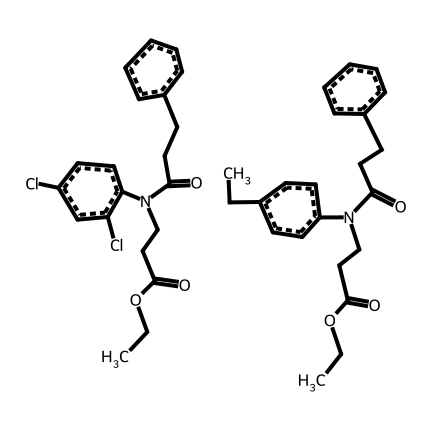 CCOC(=O)CCN(C(=O)CCc1ccccc1)c1ccc(CC)cc1.CCOC(=O)CCN(C(=O)CCc1ccccc1)c1ccc(Cl)cc1Cl